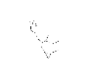 CCC(C)C(CCCN)CC1CC1C